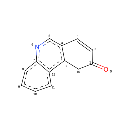 O=C1C=Cc2cnc3ccccc3c2C1